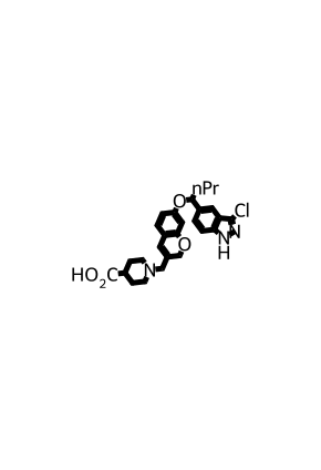 CCCC(Oc1ccc2c(c1)OCC(CN1CCC(C(=O)O)CC1)=C2)c1ccc2[nH]nc(Cl)c2c1